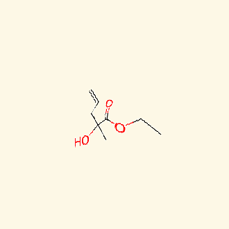 C=CCC(C)(O)C(=O)OCC